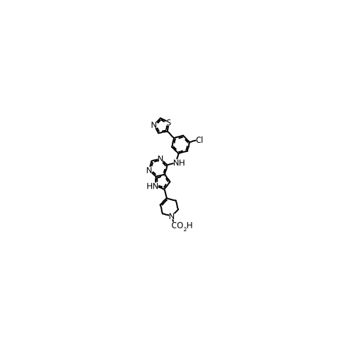 O=C(O)N1CC=C(c2cc3c(Nc4cc(Cl)cc(-c5cncs5)c4)ncnc3[nH]2)CC1